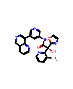 Cc1cccnc1[C@](O)(C(=O)Nc1cncc(-c2cncc3cccnc23)c1)c1ncco1